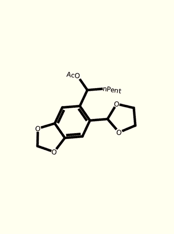 CCCCCC(OC(C)=O)c1cc2c(cc1C1OCCO1)OCO2